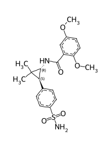 COc1ccc(OC)c(C(=O)N[C@@H]2[C@@H](c3ccc(S(N)(=O)=O)cc3)C2(C)C)c1